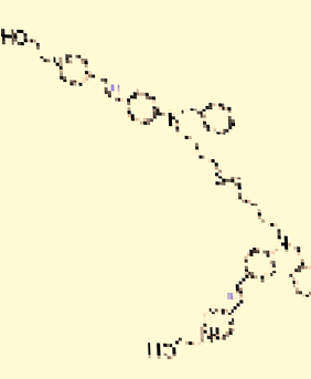 OCC[n+]1ccc(/C=C/c2ccc(N(CCCCSSCCCCN(Cc3ccccc3)c3ccc(/C=C/c4cc[n+](CCO)cc4)cc3)Cc3ccccc3)cc2)cc1